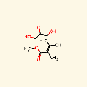 COC(=O)C(C)=C(C)C.OCC(O)CO